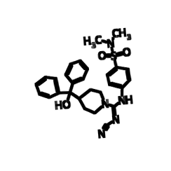 CN(C)S(=O)(=O)c1ccc(N/C(=N/C#N)N2CCC(C(O)(c3ccccc3)c3ccccc3)CC2)cc1